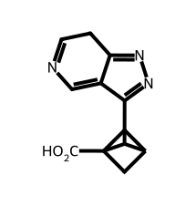 O=C(O)C12CC(C1)C2C1=NN=C2CC=NC=C21